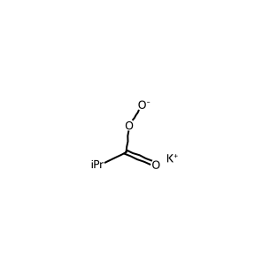 CC(C)C(=O)O[O-].[K+]